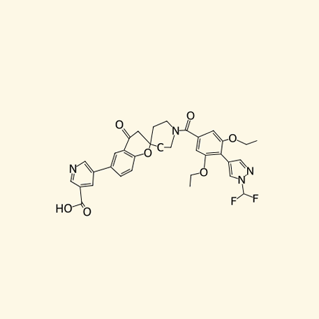 CCOc1cc(C(=O)N2CCC3(CC2)CC(=O)c2cc(-c4cncc(C(=O)O)c4)ccc2O3)cc(OCC)c1-c1cnn(C(F)F)c1